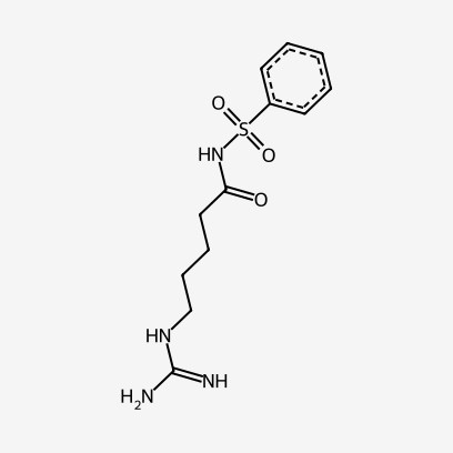 N=C(N)NCCCCC(=O)NS(=O)(=O)c1ccccc1